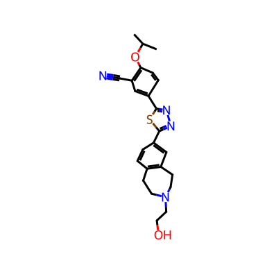 CC(C)Oc1ccc(-c2nnc(-c3ccc4c(c3)CCN(CCO)CC4)s2)cc1C#N